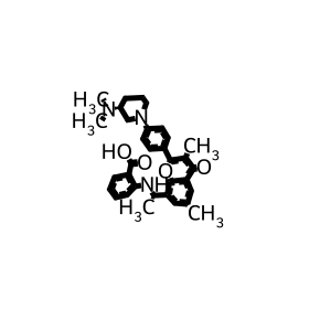 Cc1cc([C@@H](C)Nc2ccccc2C(=O)O)c2oc(-c3ccc(N4CCC[C@H](N(C)C)C4)cc3)c(C)c(=O)c2c1